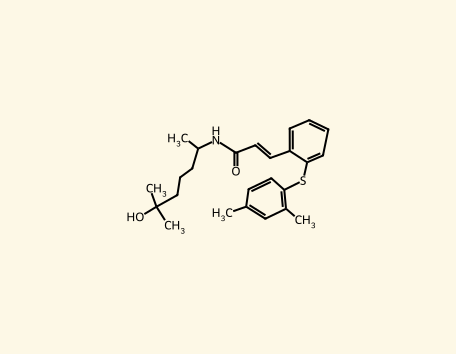 Cc1ccc(Sc2ccccc2C=CC(=O)NC(C)CCCC(C)(C)O)c(C)c1